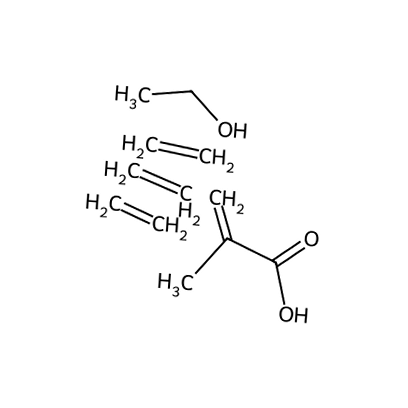 C=C.C=C.C=C.C=C(C)C(=O)O.CCO